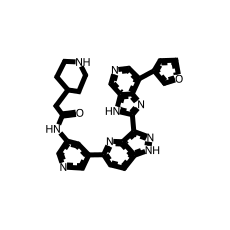 O=C(CC1CCNCC1)Nc1cncc(-c2ccc3[nH]nc(-c4nc5c(-c6ccoc6)cncc5[nH]4)c3n2)c1